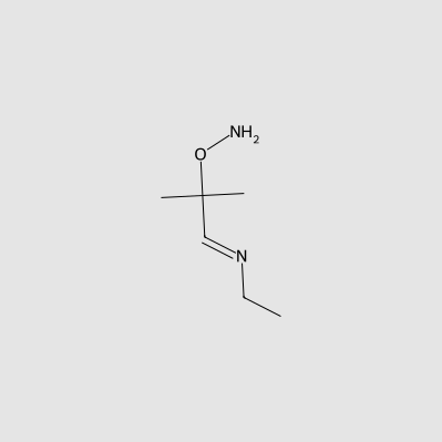 CCN=CC(C)(C)ON